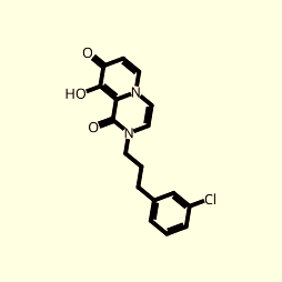 O=c1ccn2ccn(CCCc3cccc(Cl)c3)c(=O)c2c1O